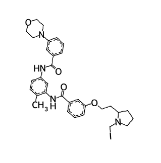 Cc1ccc(NC(=O)c2cccc(N3CCOCC3)c2)cc1NC(=O)c1cccc(OCCC2CCCN2CI)c1